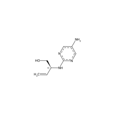 C=C[C@@H](CO)Nc1ncc(N)cn1